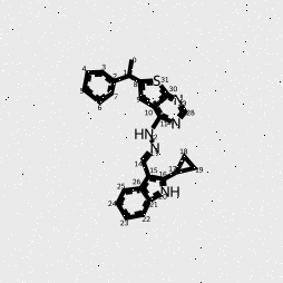 CC(c1ccccc1)c1cc2c(NN=Cc3c(C4CC4)[nH]c4ccccc34)ncnc2s1